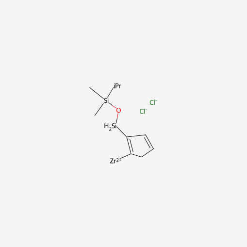 CC(C)[Si](C)(C)O[SiH2]C1=[C]([Zr+2])CC=C1.[Cl-].[Cl-]